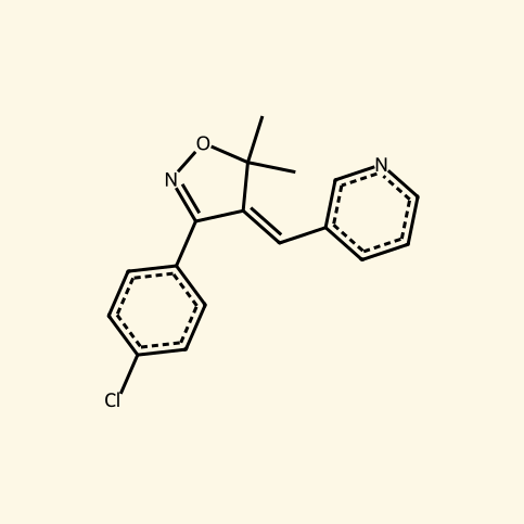 CC1(C)ON=C(c2ccc(Cl)cc2)C1=Cc1cccnc1